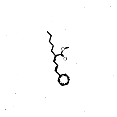 CCCCCC(=CC=Cc1ccccc1)C(=O)OC